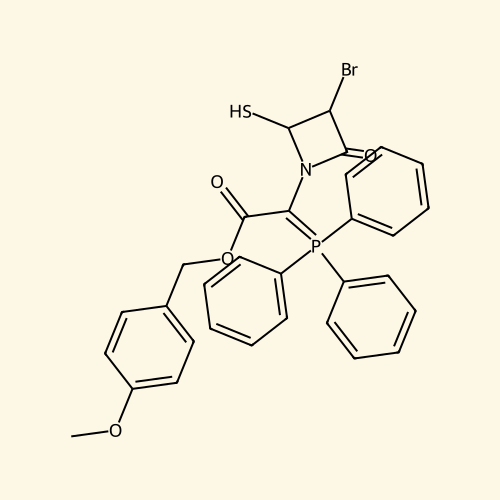 COc1ccc(COC(=O)C(N2C(=O)C(Br)C2S)=P(c2ccccc2)(c2ccccc2)c2ccccc2)cc1